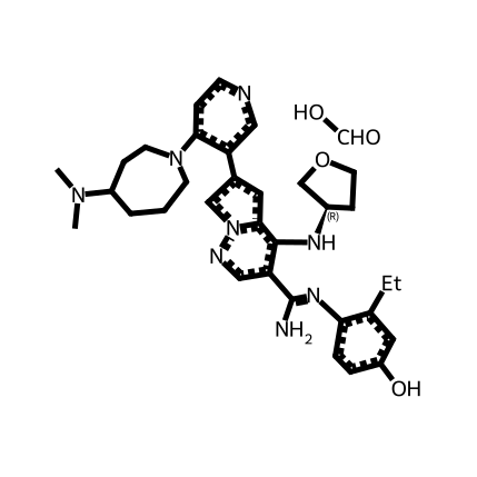 CCc1cc(O)ccc1N=C(N)c1cnn2cc(-c3cnccc3N3CCCC(N(C)C)CC3)cc2c1N[C@@H]1CCOC1.O=CO